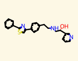 O[C@@H](CNCCc1ccc(-c2csc(-c3ccccc3)n2)cc1)c1cccnc1